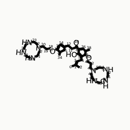 CC(C)=CCC1=C(O)C(C(=O)CCC2=CC=C(OCCCN3CCNCCNCCNCC3)C(C)C2)=CC(C)C1OCCCN1CCNCCNCCNCC1